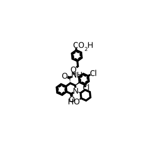 O=C(O)c1ccc(CONC(=O)[C@H]2c3ccccc3C(=O)N([C@@H]3CCCC[C@H]3O)[C@@H]2c2ccc(Cl)cc2Cl)cc1